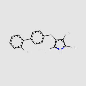 CCOC(=O)c1[nH]c(C#N)c(C#N)c1Cc1ccc(-c2ccccc2C#N)cc1